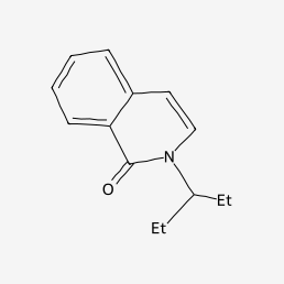 CCC(CC)n1ccc2ccccc2c1=O